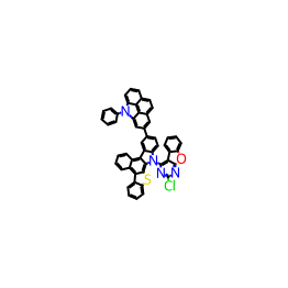 Clc1nc(-n2c3ccc(-c4cc5ccc6cccc7c6c5c(c4)n7-c4ccccc4)cc3c3c4ccccc4c4c5ccccc5sc4c32)c2c(n1)oc1ccccc12